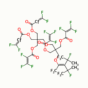 CC(F)(C(=C(OCC(COCC(CO[C](=O)[Cf]=[C](F)F)(CO[C](=O)[Cf]=[C](F)F)COC(=O)C(F)=C(F)F)(COC(=O)C(F)=C(F)F)COC(=O)C(F)=C(F)F)C(F)(F)F)C(C)(F)C(F)(F)F)C(F)(F)F